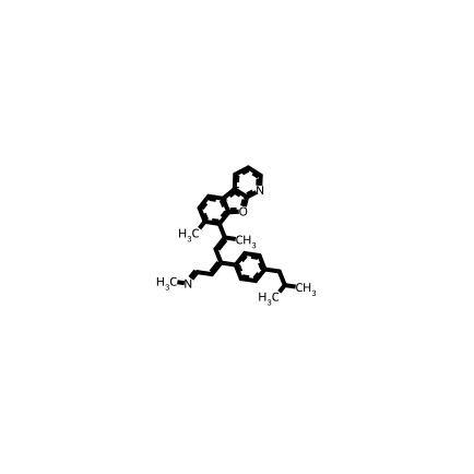 C/N=C/C=C(\C=C(/C)c1c(C)ccc2c1oc1ncccc12)c1ccc(CC(C)C)cc1